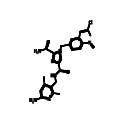 C=Nc1ccc(Cn2cc(C(=O)NCc3c(C)cc(N)nc3C)nc2C(N)=O)cc1/C=C(\C)Cl